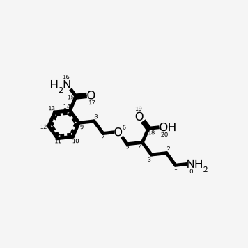 NCCCC(COCCc1ccccc1C(N)=O)C(=O)O